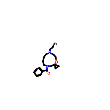 CC(C)CCN1CCCCN(C(=O)c2ccccc2)CC2(CC2)OCC1